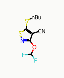 CCCCSc1snc(OC(F)F)c1C#N